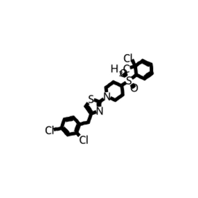 CC1(Cl)C=CC=CC1S(=O)(=O)C1CCN(c2nc(Cc3ccc(Cl)cc3Cl)cs2)CC1